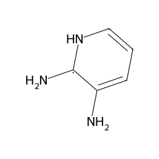 N[C]1NC=CC=C1N